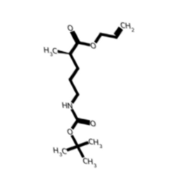 C=CCOC(=O)[C@H](C)CCCNC(=O)OC(C)(C)C